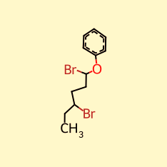 CCC(Br)CCC(Br)Oc1ccccc1